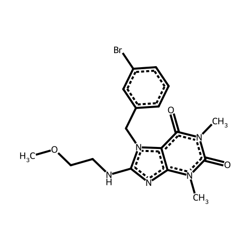 COCCNc1nc2c(c(=O)n(C)c(=O)n2C)n1Cc1cccc(Br)c1